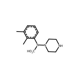 Cc1cccc(N(C(=O)O)N2CCNCC2)c1C